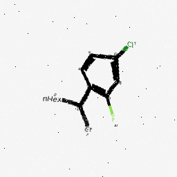 CCCCCCC(CC)c1ccc(Cl)cc1F